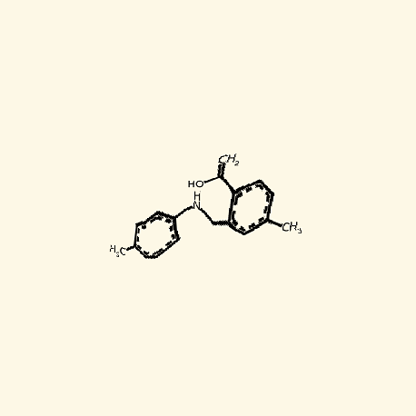 C=C(O)c1ccc(C)cc1CNc1ccc(C)cc1